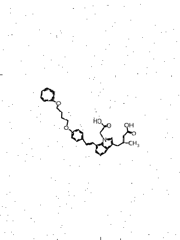 C[C@H](CC(=O)O)Cc1cn(CC(=O)O)c2c(/C=C/c3ccc(OCCCCOc4ccccc4)cc3)cccc12